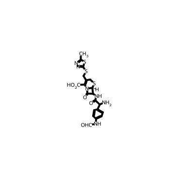 Cc1nnc(SCC2=C(C(=O)O)N3C(=O)C(NC(=O)C(N)c4ccc(NC=O)cc4)[C@@H]3SC2)s1